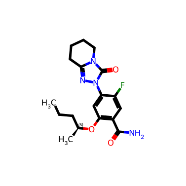 CCC[C@H](C)Oc1cc(-n2nc3n(c2=O)CCCC3)c(F)cc1C(N)=O